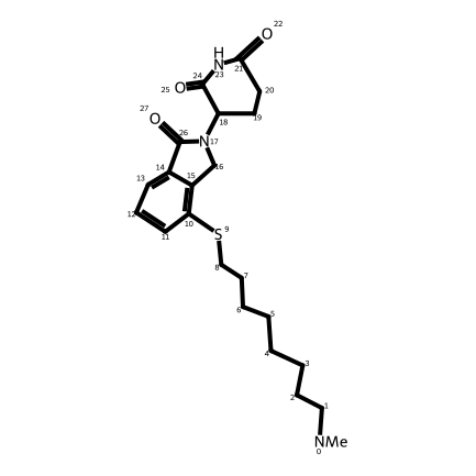 CNCCCCCCCCSc1cccc2c1CN(C1CCC(=O)NC1=O)C2=O